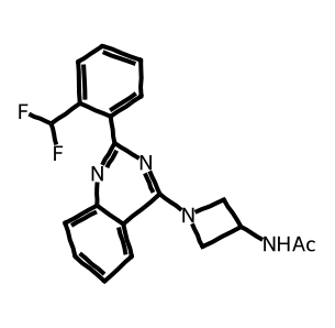 CC(=O)NC1CN(c2nc(-c3ccccc3C(F)F)nc3ccccc23)C1